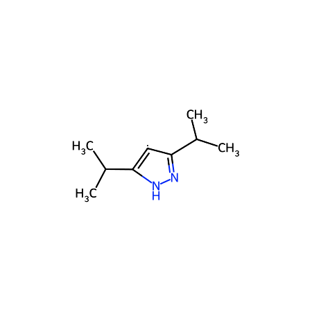 CC(C)c1[c]c(C(C)C)[nH]n1